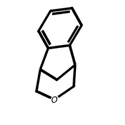 c1ccc2c(c1)C1COCC2C1